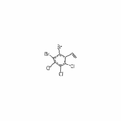 C=Cc1c(Cl)c(Cl)c(Cl)c(Br)c1Br